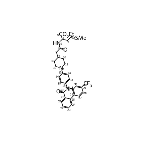 CCOC(=O)C(CCSC)NC(=O)CC1CCN(c2ccc(NC(=O)c3ccccc3-c3ccc(C(F)(F)F)cc3)cc2)CC1